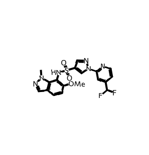 COc1ccc2cnn(C)c2c1NS(=O)(=O)c1cnn(-c2cc(C(F)F)ccn2)c1